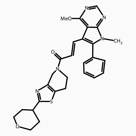 COc1ncnc2c1c(/C=C/C(=O)N1CCc3sc(C4CCOCC4)nc3C1)c(-c1ccccc1)n2C